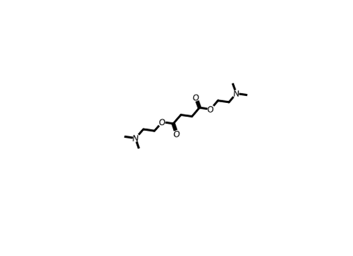 CN(C)CCOC(=O)CCC(=O)OCCN(C)C